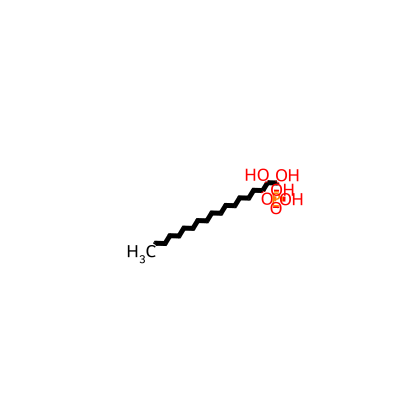 CCCCCCCCCCCCCCCCC(OP(=O)(O)O)C(O)CO